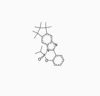 CC(C)P1(=O)Oc2ccccc2-c2nc3cc4c(cc3n21)C(C)(C)C(C)(C)C4(C)C